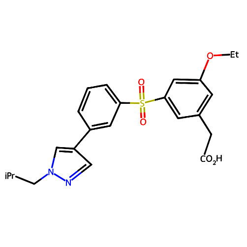 CCOc1cc(CC(=O)O)cc(S(=O)(=O)c2cccc(-c3cnn(CC(C)C)c3)c2)c1